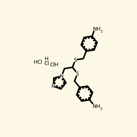 Cl.Cl.Cl.Nc1ccc(CSC(Cn2ccnc2)SCc2ccc(N)cc2)cc1